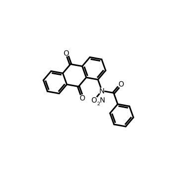 O=C1c2ccccc2C(=O)c2c1cccc2N(C(=O)c1ccccc1)[N+](=O)[O-]